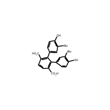 CC(C)(C)c1cc(-c2c(C(=O)O)ccc(C(=O)O)c2-c2ccc(O)c(C(C)(C)C)c2)ccc1O